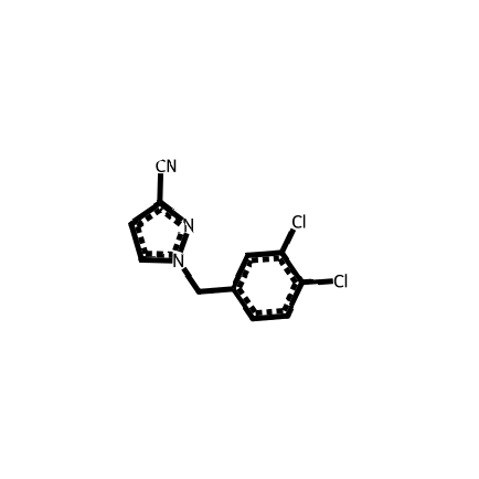 N#Cc1ccn(Cc2ccc(Cl)c(Cl)c2)n1